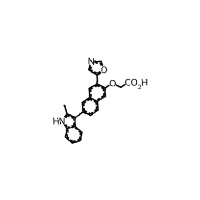 Cc1[nH]c2ccccc2c1-c1ccc2cc(OCC(=O)O)c(-c3cnco3)cc2c1